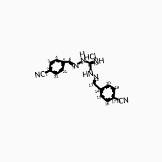 Cl.N#Cc1ccc(/C=N/NC(=N)N/N=C/c2ccc(C#N)cc2)cc1